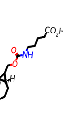 O=C(O)CCCCNC(=O)OCC1[C@H]2CCC#CCC[C@@H]12